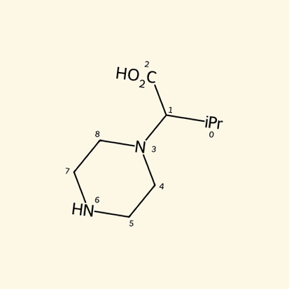 CC(C)C(C(=O)O)N1CCNCC1